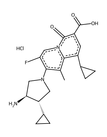 Cc1c(N2C[C@H](C3CC3)[C@@H](N)C2)c(F)cn2c(=O)c(C(=O)O)cc(C3CC3)c12.Cl